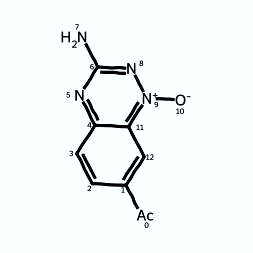 CC(=O)c1ccc2nc(N)n[n+]([O-])c2c1